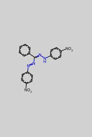 O=[N+]([O-])c1ccc(/N=N/C(=N\Nc2ccc([N+](=O)[O-])cc2)c2ccccc2)cc1